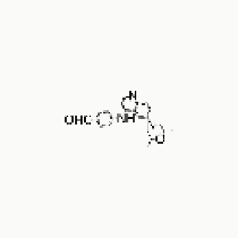 CC1CN(c2ccc3nccc(Nc4ccc(C=O)cc4)c3c2)CC(C)O1